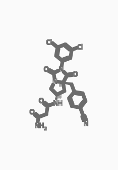 N#Cc1ccc(C[C@@]23C[C@H](NC(=O)CC(N)=O)CN2C(=O)N(c2cc(Cl)cc(Cl)c2)C3=O)cc1